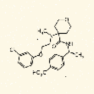 C[C@H](NC(=O)C1(N(C)CCOc2cccc(Cl)c2)CCOCC1)c1ccc(C(=O)O)cc1